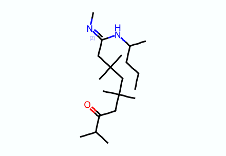 CCCC(C)N/C(CC(C)(C)CC(C)(C)CC(=O)C(C)C)=N\C